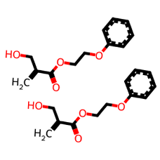 C=C(CO)C(=O)OCCOc1ccccc1.C=C(CO)C(=O)OCCOc1ccccc1